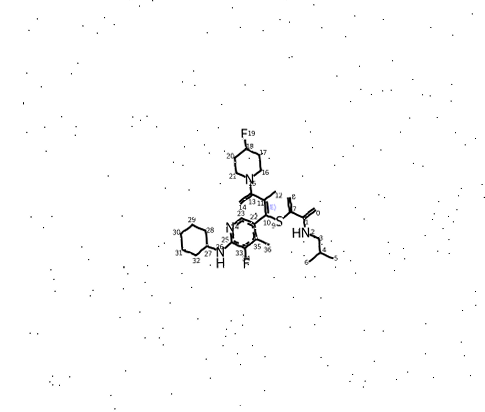 C=C(NCC(C)C)C(=C)S/C(=C(\C)C(=C)N1CCC(F)CC1)c1cnc(NC2CCCCC2)c(F)c1C